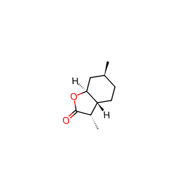 C[C@H]1CC[C@H]2[C@H](C1)OC(=O)[C@H]2C